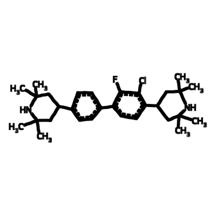 CC1(C)CC(c2ccc(-c3ccc(C4CC(C)(C)NC(C)(C)C4)c(Cl)c3F)cc2)CC(C)(C)N1